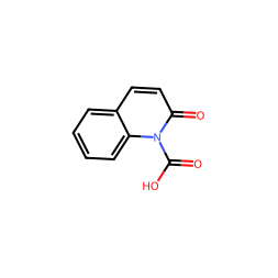 O=C(O)n1c(=O)ccc2ccccc21